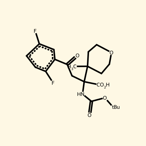 CC(C)(C)OC(=O)NC(CC(=O)c1cc(F)ccc1F)(C(=O)O)C1(C)CCOCC1